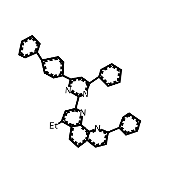 CCc1cc(-c2nc(-c3ccccc3)cc(-c3ccc(-c4ccccc4)cc3)n2)nc2c1ccc1ccc(-c3ccccc3)nc12